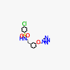 O=S(=O)(NCCc1cccc(OCn2cnnn2)c1)c1ccc(Cl)cc1